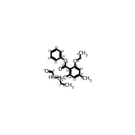 CCONC=O.CCOc1cc(C)cc(C)c1C(=O)Oc1ccccc1